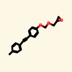 Cc1ccc(C#Cc2ccc(OCOCC3CO3)cc2)cc1